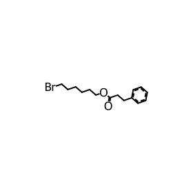 O=C(CCc1ccccc1)OCCCCCCBr